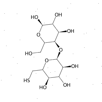 OCC1O[C@@H](O)C(O)[C@@H](O)[C@H]1O[C@@H]1OC(CS)[C@H](O)C(O)[C@@H]1O